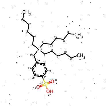 CCCCCC[Si](CCCCCC)(CCCCCC)Cc1ccc(S(=O)(=O)O)cc1